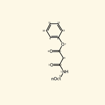 CCCCCCCCNC(=O)[CH]C(=O)Oc1ccccc1